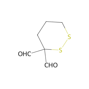 O=CC1(C=O)CCCSS1